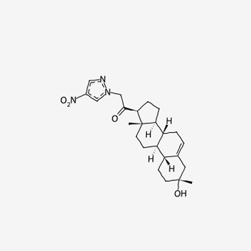 C[C@@]1(O)CC[C@H]2C(=CC[C@@H]3[C@@H]2CC[C@]2(C)[C@@H](C(=O)Cn4cc([N+](=O)[O-])cn4)CC[C@@H]32)C1